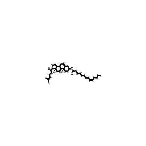 CCCC/C=C\CCCCCCCC(=O)OC1CC[C@@]2(C)C(=CCC3C2CC[C@@]2(C)C3CC[C@@H]2[C@H](C)CCCC(C)C)C1